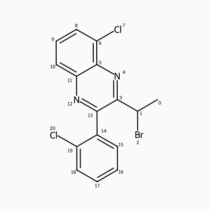 CC(Br)c1nc2c(Cl)cccc2nc1-c1ccccc1Cl